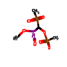 CCCO[PH](=O)C(OS(C)(=O)=O)S(C)(=O)=O